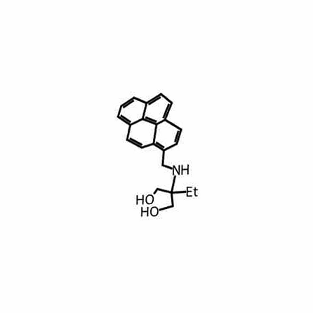 CCC(CO)(CO)NCc1ccc2ccc3cccc4ccc1c2c34